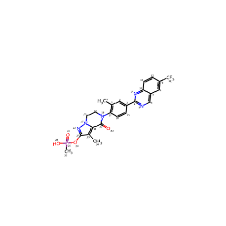 Cc1cc(-c2ncc3cc(C(F)(F)F)ccc3n2)ccc1N1CCn2nc(OP(C)(=O)O)c(C)c2C1=O